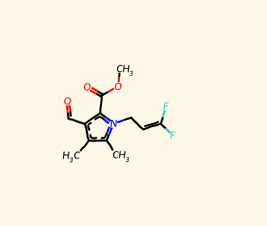 COC(=O)c1c(C=O)c(C)c(C)n1CC=C(F)F